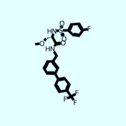 COC[C@H](NS(=O)(=O)c1ccc(F)cc1)C(=O)NCc1cccc(-c2ccc(C(F)(F)F)cc2)c1